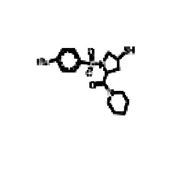 CC(C)(C)c1ccc(S(=O)(=O)N2CC(S)CC2C(=O)N2CCCCC2)cc1